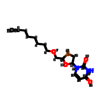 CCCCCCCCCCCCCCCCOCC1OC(n2ccc(=O)[nH]c2=O)CS1